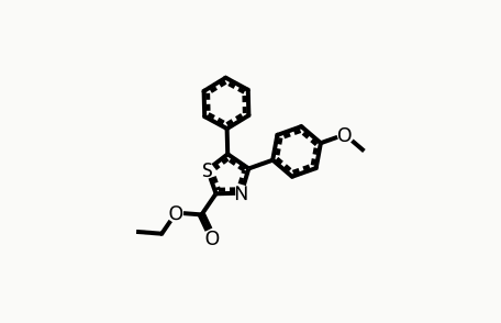 CCOC(=O)c1nc(-c2ccc(OC)cc2)c(-c2ccccc2)s1